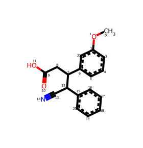 COc1cccc(C(CC(=O)O)C(C#N)c2ccccc2)c1